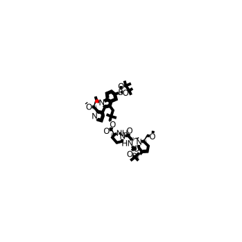 CCn1c(-c2cccnc2[C@H](C)OC)c(CC(C)(C)COC(=O)[C@@H]2CCCN(C(=O)[C@H](CN3CC(Br)=CC[C@@H]3COC)NC(=O)OC(C)(C)C)N2)c2cc(B3OC(C)(C)C(C)(C)O3)ccc21